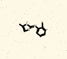 Cc1csc(=Nc2ccccc2C)s1